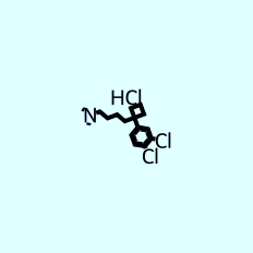 CN(C)CCCCC1(c2ccc(Cl)c(Cl)c2)CCC1.Cl